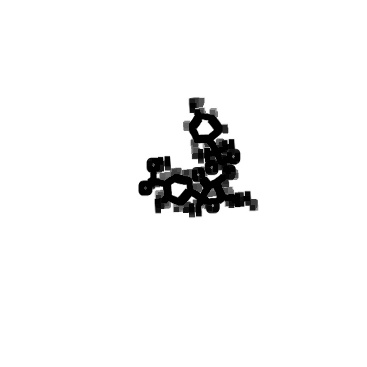 [2H]C([2H])(c1ccc(F)cc1)S(=O)(=O)OC1=C(N)O[C@]([2H])(c2ccc(C(=O)O)c(F)c2)C1=O